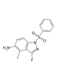 Nc1ccc2c(c(F)nn2S(=O)(=O)c2ccccc2)c1I